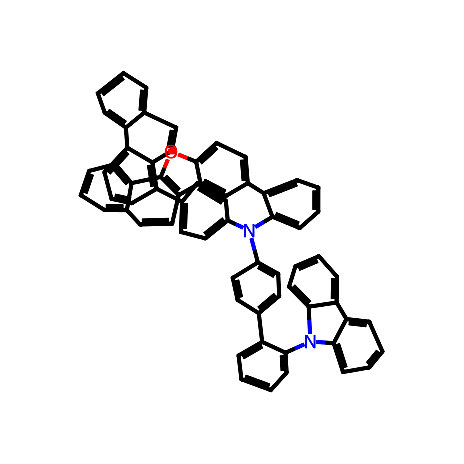 c1ccc(N(c2ccc(-c3ccccc3-n3c4ccccc4c4ccccc43)cc2)c2ccc(-c3cccc4c3ccc3ccccc34)cc2)c(-c2ccc3oc4c5ccccc5ccc4c3c2)c1